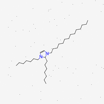 CCCCCCCCCCCCCCN1C=CN(CCCCCCC)C1CCCCCCC